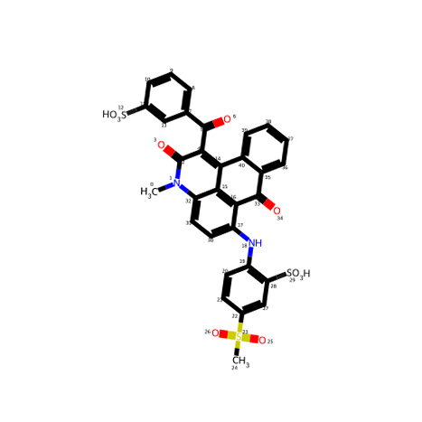 Cn1c(=O)c(C(=O)c2cccc(S(=O)(=O)O)c2)c2c3c(c(Nc4ccc(S(C)(=O)=O)cc4S(=O)(=O)O)ccc31)C(=O)c1ccccc1-2